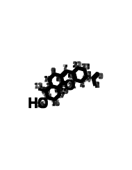 C=C(C)[C@@H]1CC=C(C=C2CCC3[C@H](C)C(O)CC[C@]3(C)C2=O)CC1